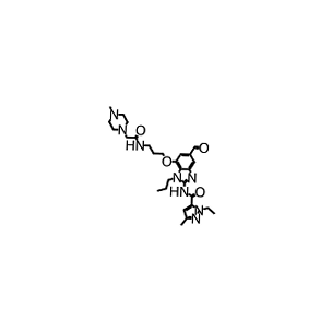 CCCn1c(NC(=O)c2cc(C)nn2CC)nc2cc(C=O)cc(OCCCNC(=O)CN3CCN(C)CC3)c21